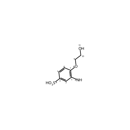 [NH]c1cc(S(=O)(=O)O)ccc1OCCO